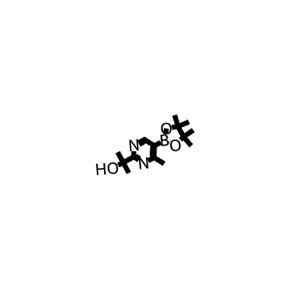 Cc1nc(C(C)(C)O)ncc1B1OC(C)(C)C(C)(C)O1